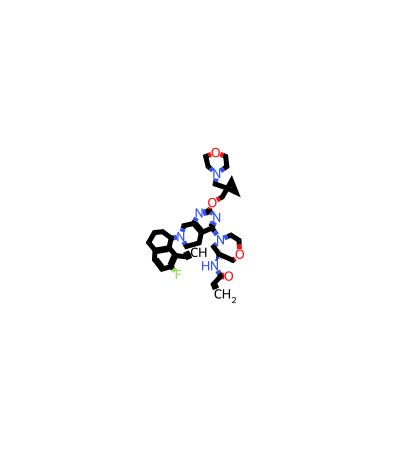 C#Cc1c(F)ccc2c1C(N1CCc3c(nc(OCC4(CN5CCOCC5)CC4)nc3N3CCOC[C@@H](NC(=O)C=C)C3)C1)CCC2